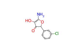 NC1=C(O)C(=O)C(c2cccc(Cl)c2)O1